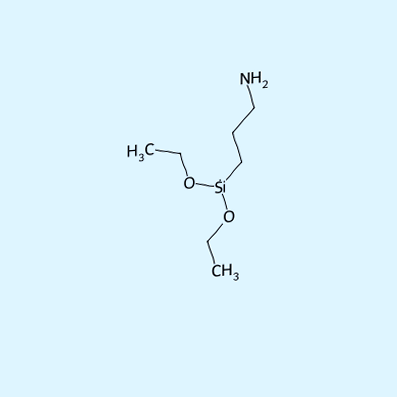 CCO[Si](CCCN)OCC